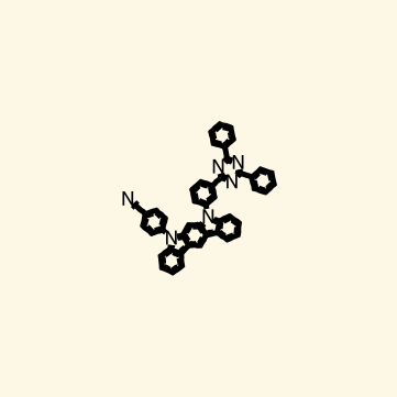 N#Cc1ccc(-n2c3ccccc3c3cc4c5ccccc5n(-c5cccc(-c6nc(-c7ccccc7)nc(-c7ccccc7)n6)c5)c4cc32)cc1